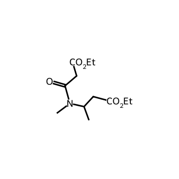 CCOC(=O)CC(=O)N(C)C(C)CC(=O)OCC